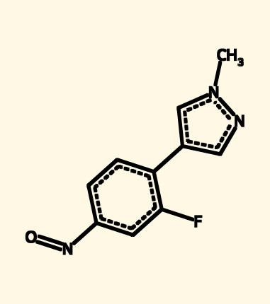 Cn1cc(-c2ccc(N=O)cc2F)cn1